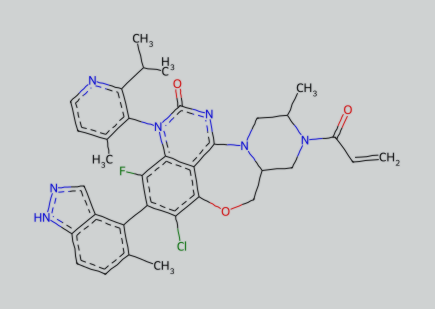 C=CC(=O)N1CC2COc3c(Cl)c(-c4c(C)ccc5[nH]ncc45)c(F)c4c3c(nc(=O)n4-c3c(C)ccnc3C(C)C)N2CC1C